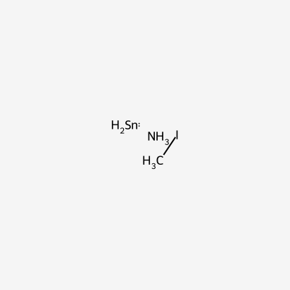 CI.N.[SnH2]